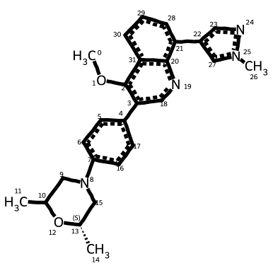 COc1c(-c2ccc(N3CC(C)O[C@@H](C)C3)cc2)cnc2c(-c3cnn(C)c3)cccc12